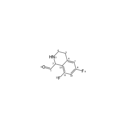 O=CC1NCCc2cc(F)cc(F)c21